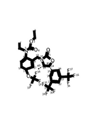 CCOC(=O)N(CC)C1=CCC(OC(F)(F)F)C=C1CN1C(=O)O[C@H](c2cc(C(F)(F)F)cc(C(F)(F)F)c2)[C@@H]1C